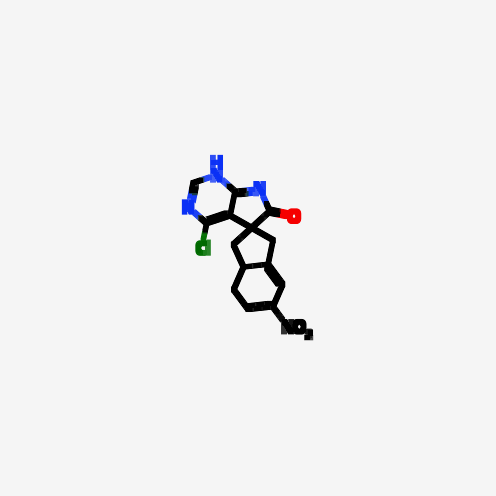 O=C1N=C2NC=NC(Cl)=C2C12CC1=CC([N+](=O)[O-])=CCC1C2